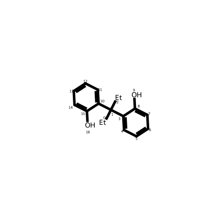 CCC(CC)(c1ccccc1O)c1ccccc1O